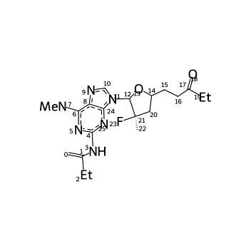 C=C(CC)Nc1nc(NC)c2ncn(C3OC(CCC(=O)CC)C[C@@]3(C)F)c2n1